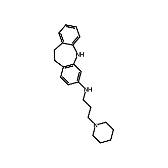 c1ccc2c(c1)CCc1ccc(NCCCN3CCCCC3)cc1N2